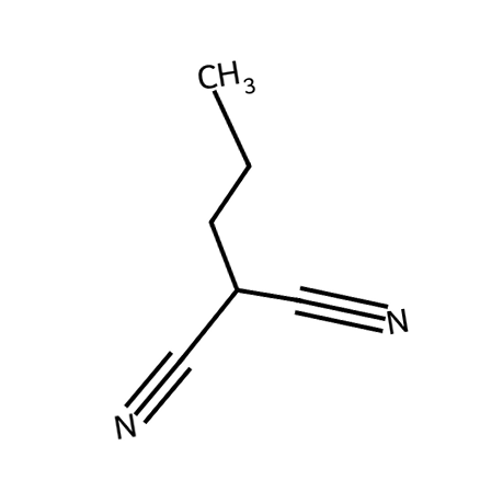 CCCC(C#N)C#N